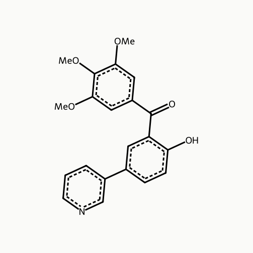 COc1cc(C(=O)c2cc(-c3cccnc3)ccc2O)cc(OC)c1OC